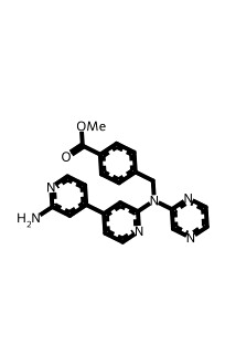 COC(=O)c1ccc(CN(c2cnccn2)c2cc(-c3ccnc(N)c3)ccn2)cc1